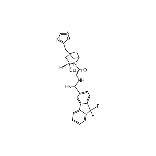 N=C(NCC(=O)N1C2CC(Cc3ncno3)(C2)C[C@H]1C(=O)O)c1ccc2c(c1)-c1ccccc1C2(F)F